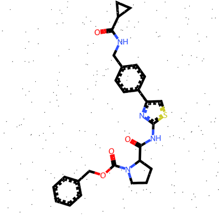 O=C(NCc1ccc(-c2csc(NC(=O)C3CCCN3C(=O)OCc3ccccc3)n2)cc1)C1CC1